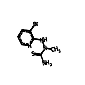 CN(Nc1ncccc1Br)C(N)=S